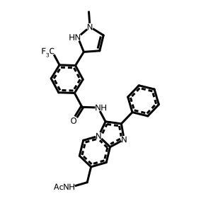 CC(=O)NCc1ccn2c(NC(=O)c3ccc(C(F)(F)F)c(C4C=CN(C)N4)c3)c(-c3ccccc3)nc2c1